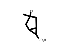 CC1(O)CC2C(C1)C2C(=O)O